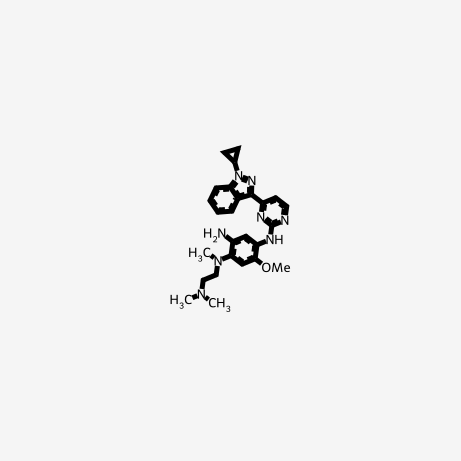 COc1cc(N(C)CCN(C)C)c(N)cc1Nc1nccc(-c2nn(C3CC3)c3ccccc23)n1